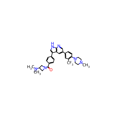 CN1CCN(c2ccc(-c3cnc4[nH]cc(-c5ccc(C(=O)N6CC(N(C)C)C6)cc5)c4c3)cc2C(F)(F)F)CC1